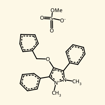 COS(=O)(=O)[O-].Cn1c(-c2ccccc2)c(OCc2ccccc2)c(-c2ccccc2)[n+]1C